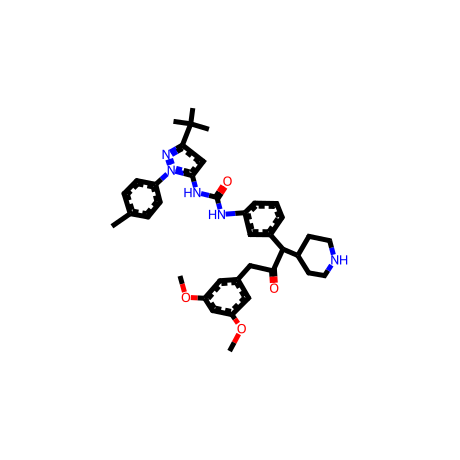 COc1cc(CC(=O)C(c2cccc(NC(=O)Nc3cc(C(C)(C)C)nn3-c3ccc(C)cc3)c2)C2CCNCC2)cc(OC)c1